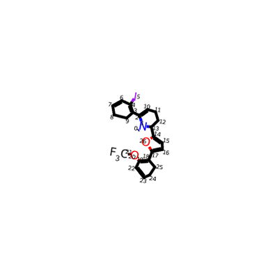 CN1C(C2=C(I)C=CCC2)=CCCC1c1ccc(C2=C(OC(F)(F)F)C=CCC2)o1